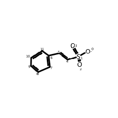 [O]S(=O)(=O)C=Cc1ccccc1